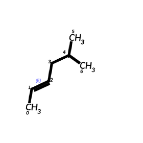 C/C=C/C[C](C)C